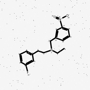 CCN(CCc1cccc(F)c1)Cc1cccc([N+](=O)[O-])c1